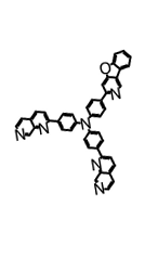 c1ccc2c(c1)oc1cc(-c3ccc(N(c4ccc(-c5ccc6ccncc6n5)cc4)c4ccc(-c5ccc6ccncc6n5)cc4)cc3)ncc12